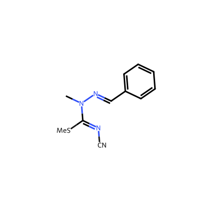 CSC(=NC#N)N(C)N=Cc1ccccc1